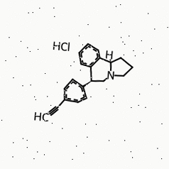 C#Cc1ccc([C@@H]2CN3CCC[C@@H]3c3ccccc32)cc1.Cl